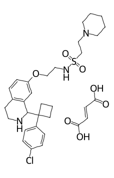 O=C(O)C=CC(=O)O.O=S(=O)(CCN1CCCCC1)NCCOc1ccc2c(c1)C(C1(c3ccc(Cl)cc3)CCC1)NCC2